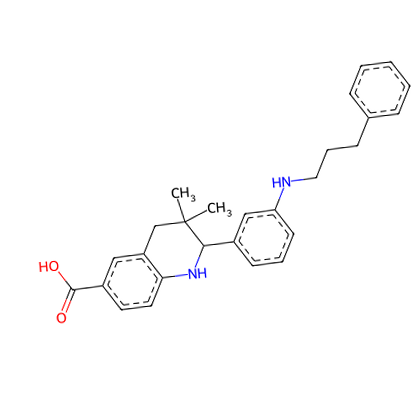 CC1(C)Cc2cc(C(=O)O)ccc2NC1c1cccc(NCCCc2ccccc2)c1